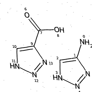 Nc1c[nH]nn1.O=C(O)c1c[nH]nn1